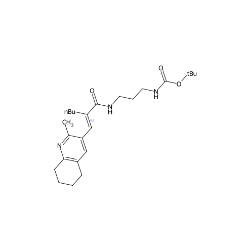 CCCC/C(=C\c1cc2c(nc1C)CCCC2)C(=O)NCCCNC(=O)OC(C)(C)C